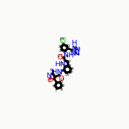 Cc1noc(-c2ccccc2)c1C(=O)Nc1cccc2cc(C(=O)Nc3ccc(Cl)cc3-c3nnn[nH]3)[nH]c12